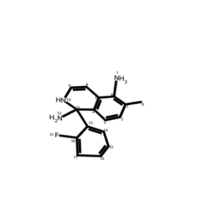 Cc1ccc2c(c1N)C=CNC2(N)c1ccccc1F